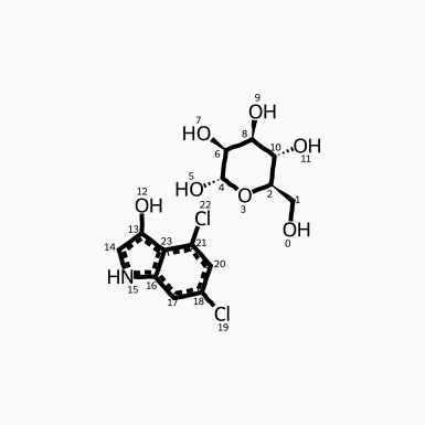 OC[C@H]1O[C@H](O)[C@@H](O)[C@@H](O)[C@@H]1O.Oc1c[nH]c2cc(Cl)cc(Cl)c12